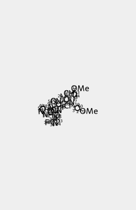 COc1ccc(CN(Cc2ccc(OC)cc2)c2cc(C)c(I)c(-c3nc4c5c(nc(OC[C@@]67CCCN6C[C@H](F)C7)nc5c3F)N([C@H](C)c3cccnc3N)CCO4)c2Cl)cc1